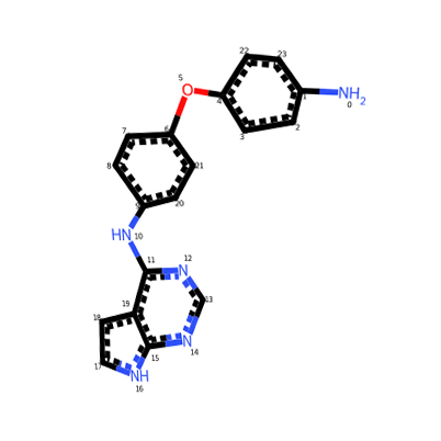 Nc1ccc(Oc2ccc(Nc3ncnc4[nH]ccc34)cc2)cc1